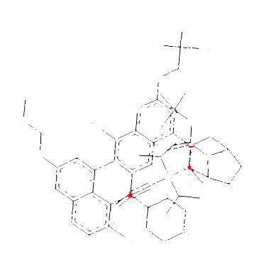 COCOc1cc(-c2c(C(=O)C3CCCCC3)cc3c(N4C[C@H]5CC[C@@H](C4)N5C(=O)OC(C)(C)C)nc(OCC(F)(F)F)nc3c2F)c2c(C#C[Si](C(C)C)(C(C)C)C(C)C)c(F)ccc2c1